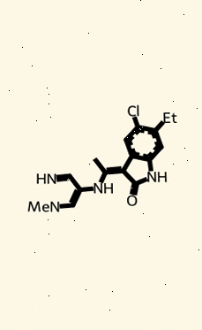 CCc1cc2c(cc1Cl)/C(=C(\C)N/C(C=N)=C/NC)C(=O)N2